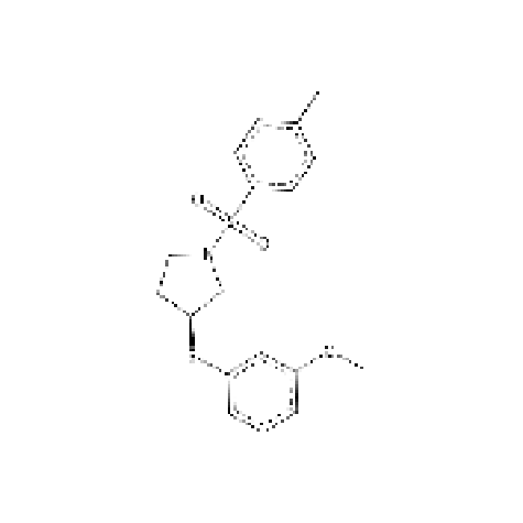 COc1cccc(S[C@H]2CCN(S(=O)(=O)c3ccc(C)cc3)C2)c1